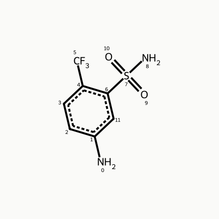 Nc1ccc(C(F)(F)F)c(S(N)(=O)=O)c1